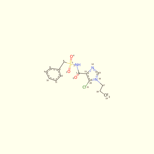 O=C(NS(=O)(=O)Cc1ccccc1)c1ncn(CCC(F)(F)F)c1Cl